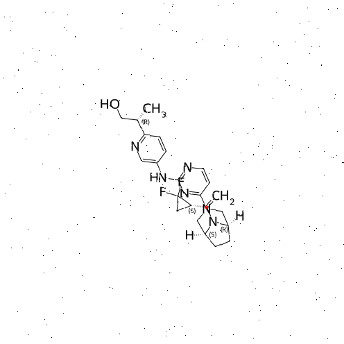 C=C([C@@H]1CC1(F)F)N1[C@@H]2CC[C@H]1CN(c1ccnc(Nc3ccc([C@@H](C)CO)nc3)n1)C2